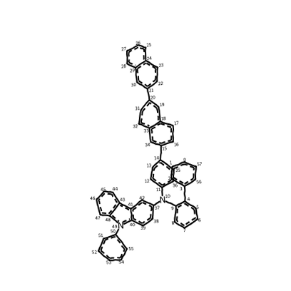 c1ccc(-c2ccccc2N(c2ccc(-c3ccc4cc(-c5ccc6ccccc6c5)ccc4c3)cc2)c2ccc3c(c2)c2ccccc2n3-c2ccccc2)cc1